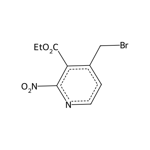 CCOC(=O)c1c(CBr)ccnc1[N+](=O)[O-]